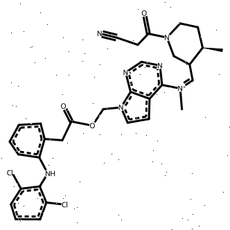 C[C@@H]1CCN(C(=O)CC#N)CC1/C=[N+](/C)c1ncnc2c1ccn2COC(=O)Cc1ccccc1Nc1c(Cl)cccc1Cl